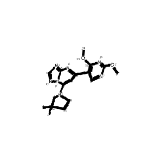 COc1ncc(-c2cc(N3CCC(C)(C)C3)n3ncnc3n2)c(OC)n1